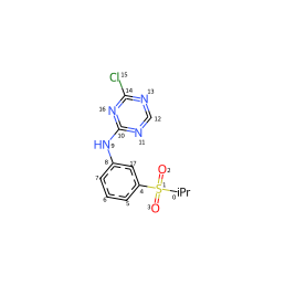 CC(C)S(=O)(=O)c1cccc(Nc2ncnc(Cl)n2)c1